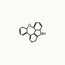 C1=CCC2OC3=CC=CC4NC5=C(C(=CCC5)C2=C1)C34